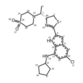 CC([C@@H]1CSC(c2cc3cc(Cl)cc(NC4CCCC4)c3[nH]2)=N1)N1CCS(=O)(=O)CC1